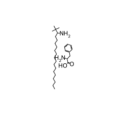 CCCCCCCCCCCCCCCCC(N)C(C)(C)C.N[C@@H](Cc1ccccc1)C(=O)O